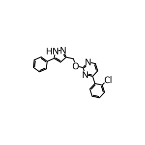 Clc1ccccc1-c1ccnc(OCc2cc(-c3ccccc3)[nH]n2)n1